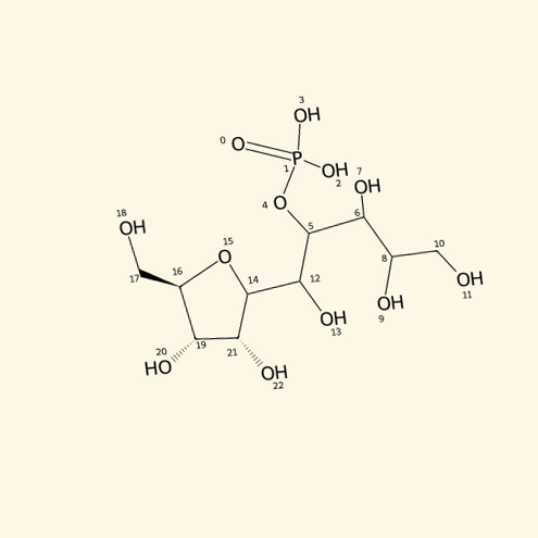 O=P(O)(O)OC(C(O)C(O)CO)C(O)C1O[C@H](CO)[C@@H](O)[C@H]1O